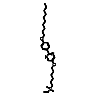 C=C[Si](C)(C)CCCCCCOc1cnc(-c2ccc(OCCCCCCCCCC)cc2)nc1